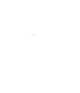 O=S(=O)(O)CCCCCCCCCCO